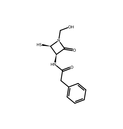 O=C(Cc1ccccc1)N[C@@H]1C(=O)N(CO)[C@@H]1S